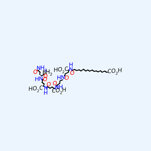 BC(=O)[C@H](CCC(N)=O)NC(=O)CC[C@H](NC(=O)CC[C@H](NC(=O)CCCNC(=O)CC[C@H](NC(=O)CCCCCCCCCCCCCCCCC(=O)O)C(=O)O)C(=O)O)C(=O)O